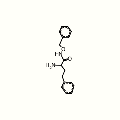 NC(CCc1ccccc1)C(=O)NOCc1ccccc1